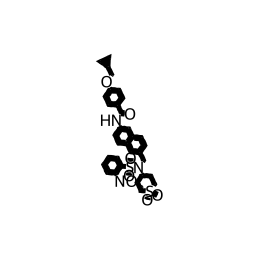 O=C(Nc1ccc2cc(CN(C3CCS(=O)(=O)CC3)S(=O)(=O)c3ccccc3[N+](=O)[O-])ccc2c1)c1ccc(OCC2CC2)cc1